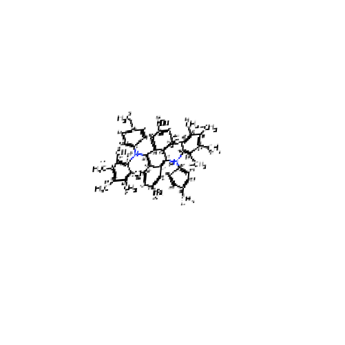 Cc1ccc(N(c2c(C)c(C)c(C)c(C)c2C)c2c3ccc(C(C)(C)C)cc3c(N(c3ccc(C)cc3)c3c(C)c(C)c(C)c(C)c3C)c3ccc(C(C)(C)C)cc23)cc1